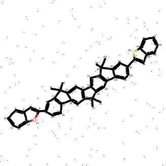 CC1(C)c2cc(-c3cc4ccccc4o3)ccc2-c2cc3c(cc21)-c1cc2c(cc1C3(C)C)-c1ccc(-c3cc4ccccc4s3)cc1C2(C)C